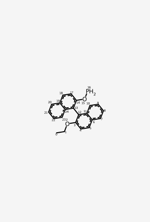 CCOc1ccc2ccccc2c1-c1c(OP)ccc2ccccc12